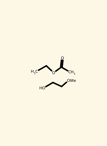 CCOC(C)=O.COCCO